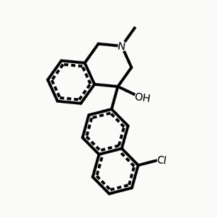 CN1Cc2ccccc2C(O)(c2ccc3cccc(Cl)c3c2)C1